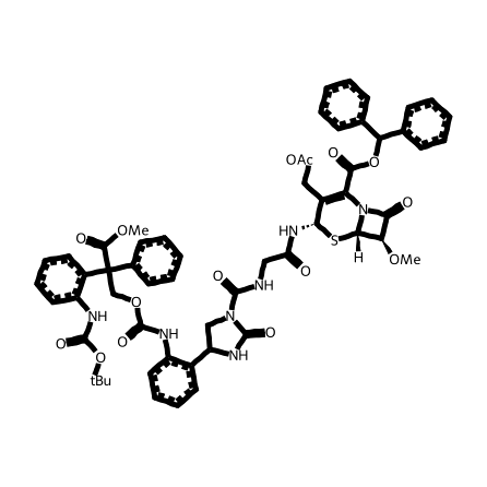 COC(=O)C(COC(=O)Nc1ccccc1C1CN(C(=O)NCC(=O)N[C@H]2S[C@H]3[C@H](OC)C(=O)N3C(C(=O)OC(c3ccccc3)c3ccccc3)=C2COC(C)=O)C(=O)N1)(c1ccccc1)c1ccccc1NC(=O)OC(C)(C)C